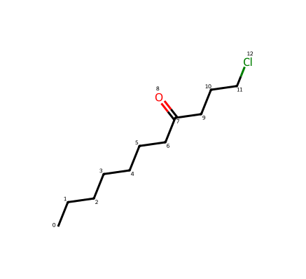 CCCCCCCC(=O)CCCCl